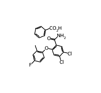 Cc1cc(F)ccc1Oc1cc(Cl)c(Cl)cc1C(N)=O.O=C(O)c1ccccc1